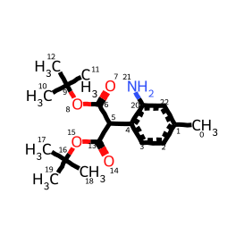 Cc1ccc(C(C(=O)OC(C)(C)C)C(=O)OC(C)(C)C)c(N)c1